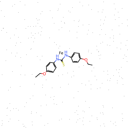 CCOc1ccc(NC(=S)Nc2ccc(OCC)cc2)cc1.[Fe]